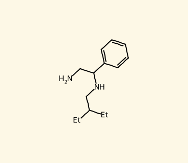 CCC(CC)CNC(CN)c1ccccc1